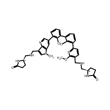 COc1nc(-c2cccc(-c3cccc(-c4cnc5c(CNC[C@H]6CCC(=O)N6)cn(C)c5c4)c3Cl)c2Cl)ccc1CNC[C@H]1CCC(=O)N1